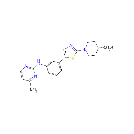 Cc1ccnc(Nc2cccc(-c3cnc(N4CCC(C(=O)O)CC4)s3)c2)n1